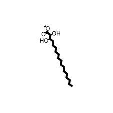 CCCCCCCCCCCCCCC[C@H](O)[C@@H](O)C(=O)OC